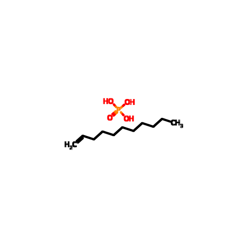 C=CCCCCCCCCC.O=P(O)(O)O